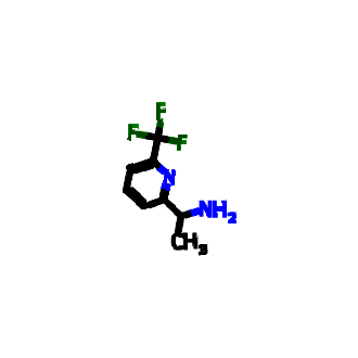 CC(N)c1cccc(C(F)(F)F)n1